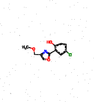 COCc1coc(-c2cc(Cl)ccc2O)n1